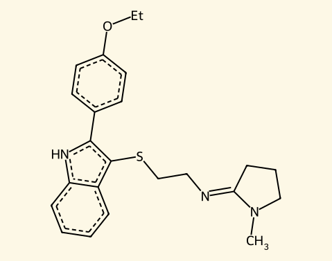 CCOc1ccc(-c2[nH]c3ccccc3c2SCCN=C2CCCN2C)cc1